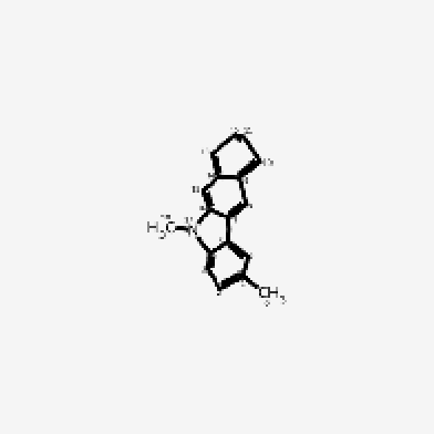 Cc1ccc2c(c1)c1cc3ccccc3cc1n2C